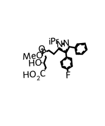 COP(=O)(CCc1c(-c2ccc(F)cc2)c(-c2ccccc2)nn1C(C)C)C[C@@H](O)CC(=O)O